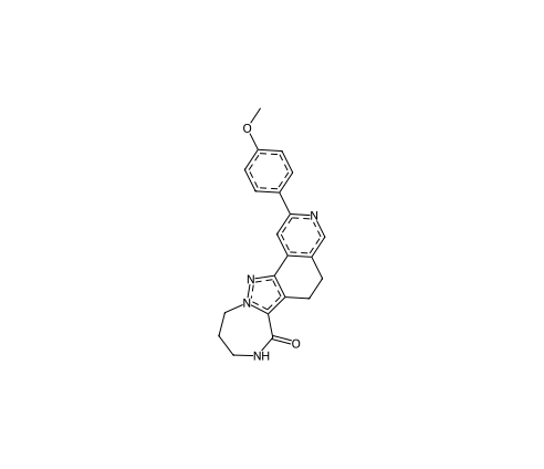 COc1ccc(-c2cc3c(cn2)CCc2c-3nn3c2C(=O)NCCC3)cc1